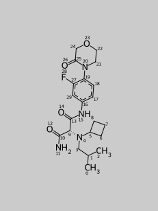 CC(C)CN(C1CCC1)[C@H](C(N)=O)C(=O)Nc1ccc(N2CCOCC2=O)c(F)c1